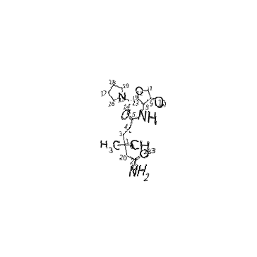 CC(C)(C[CH]C(=O)NC1C(=O)CO[C@H]1CN1CCCC1)CC(N)=O